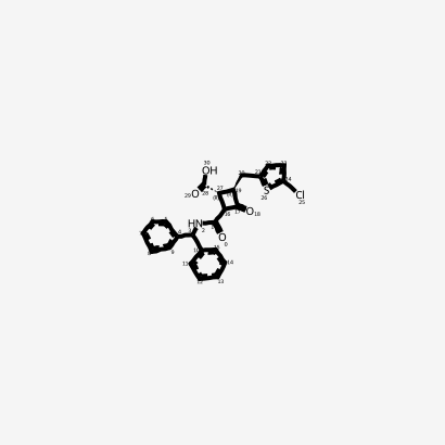 O=C(NC(c1ccccc1)c1ccccc1)C1C(=O)[C@H](Cc2ccc(Cl)s2)[C@H]1C(=O)O